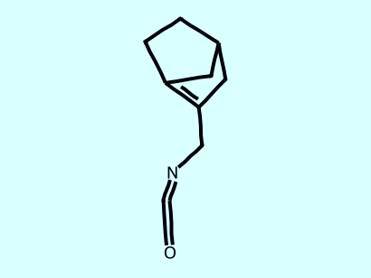 O=C=NCC1=C2CCC(C2)C1